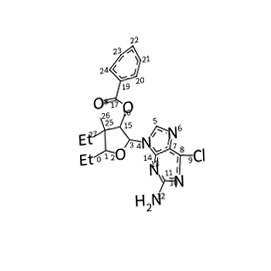 CCC1OC(n2cnc3c(Cl)nc(N)nc32)C(OC(=O)c2ccccc2)C1(C)CC